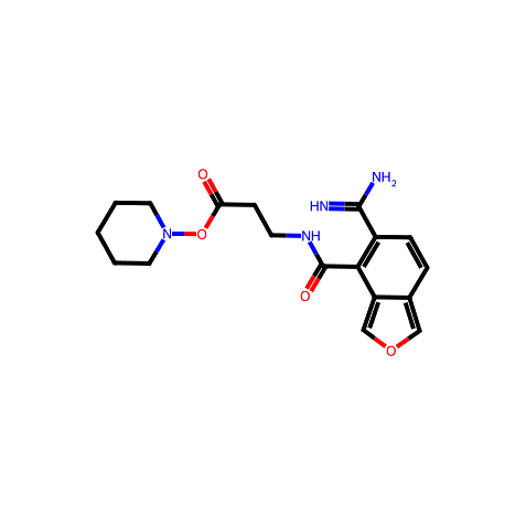 N=C(N)c1ccc2cocc2c1C(=O)NCCC(=O)ON1CCCCC1